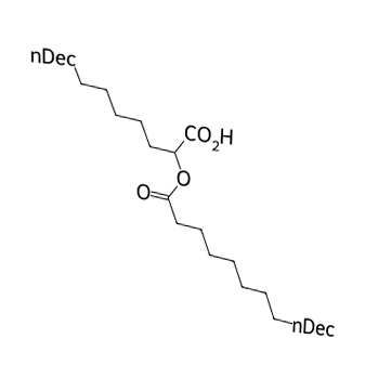 CCCCCCCCCCCCCCCCCC(=O)OC(CCCCCCCCCCCCCCC)C(=O)O